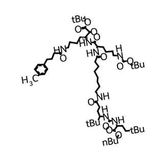 CCCCOC(=O)C(CCC(C)(C)C)NC(=O)NC(CCC(=O)NCCCCCCCC(=O)NC(CCCCNC(=O)OC(C)(C)C)C(=O)N[C@@H](CCCCNC(=O)CCCc1ccc(C)cc1)C(=O)C(=O)OC(C)(C)C)C(C)(C)C